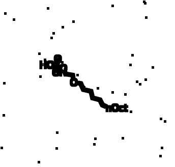 CCCCCCCCCCCCCCOCCOP(=O)(O)O